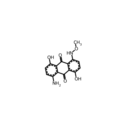 CONc1ccc(O)c2c1C(=O)c1c(O)ccc(N)c1C2=O